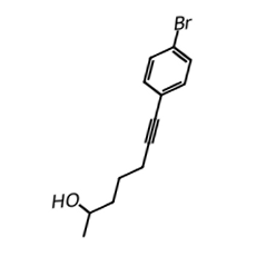 CC(O)CCCC#Cc1ccc(Br)cc1